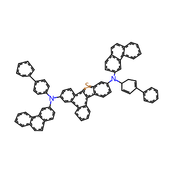 C1=CC(N(c2ccc3c(c2)sc2c4ccc(N(c5ccc(-c6ccccc6)cc5)c5ccc6ccc7ccccc7c6c5)cc4c4ccccc4c32)c2ccc3ccc4ccccc4c3c2)CC=C1c1ccccc1